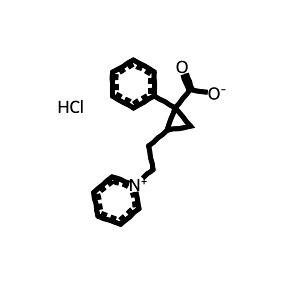 Cl.O=C([O-])C1(c2ccccc2)CC1CC[n+]1ccccc1